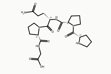 NC(=O)CC[C@H](NC(=O)[C@@H]1CCCN1C(=O)[C@@H]1CCCN1)C(=O)N1CCC[C@H]1C(=O)NCC(=O)O